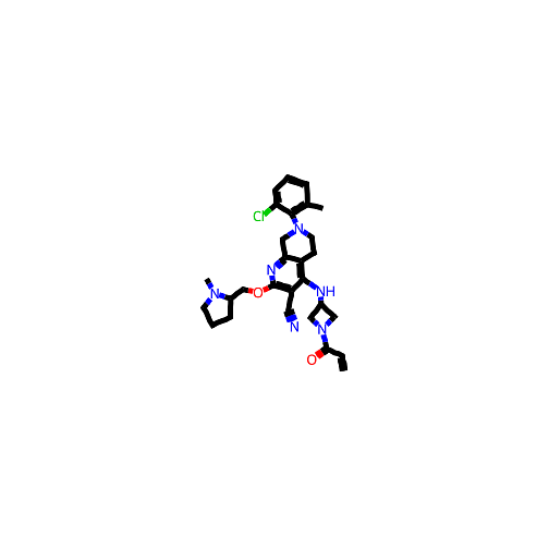 C=CC(=O)N1CC(Nc2c(C#N)c(OCC3CCCN3C)nc3c2CCN(c2c(C)cccc2Cl)C3)C1